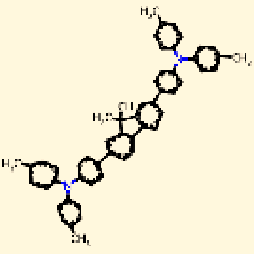 Cc1ccc(N(c2ccc(C)cc2)c2ccc(-c3ccc4c(c3)C(C)(C)c3cc(-c5ccc(N(c6ccc(C)cc6)c6ccc(C)cc6)cc5)ccc3-4)cc2)cc1